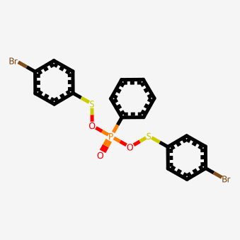 O=P(OSc1ccc(Br)cc1)(OSc1ccc(Br)cc1)c1ccccc1